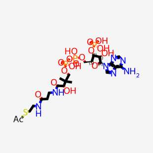 CC(=O)SCCNC(=O)CCNC(=O)C(O)C(C)(C)COP(=O)(O)OP(=O)(O)OC[C@@H]1O[C@@H](n2cnc3c(N)ncnc32)[C@H](O)[C@H]1OP(=O)(O)O